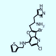 N[C@@H](Cc1c[nH]nn1)Cc1oc2c(NCc3cccs3)cc(Cl)nc2c1Br